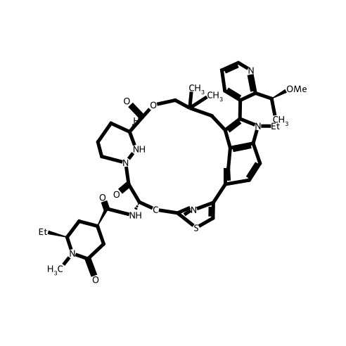 CC[C@H]1C[C@@H](C(=O)N[C@H]2Cc3nc(cs3)-c3ccc4c(c3)c(c(-c3cccnc3[C@H](C)OC)n4CC)CC(C)(C)COC(=O)[C@@H]3CCCN(N3)C2=O)CC(=O)N1C